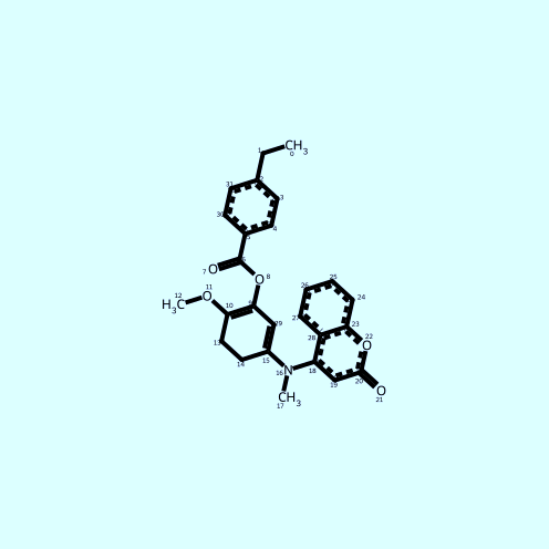 CCc1ccc(C(=O)OC2=C(OC)CCC(N(C)c3cc(=O)oc4ccccc34)=C2)cc1